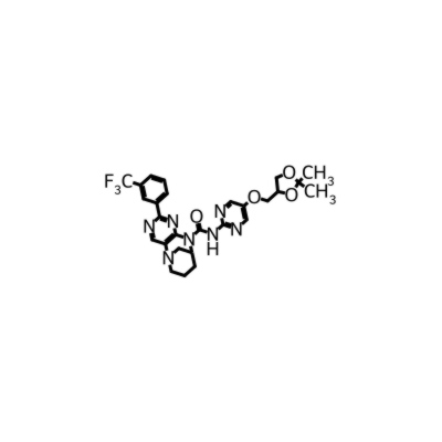 CC1(C)OCC(COc2cnc(NC(=O)N3c4nc(-c5cccc(C(F)(F)F)c5)ncc4N4CCCC3C4)nc2)O1